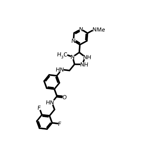 CNc1cc(C2NNC(CNc3cccc(C(=O)NCc4c(F)cccc4F)c3)N2C)ncn1